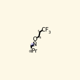 CC(C)/C=N/OCCC(F)(F)F